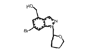 OCc1cc(Br)cc2c1cnn2C1CCCCO1